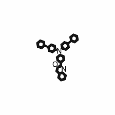 c1ccc(-c2ccc(N(c3ccc(-c4ccccc4)cc3)c3ccc4c(c3)oc3cc5ccccc5nc34)cc2)cc1